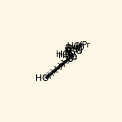 CC(C)OP(=O)(O)OC[C@H]1OC[C@H](O)[C@@H]1OP(=O)(O)OCCCCCCCCCCCCO